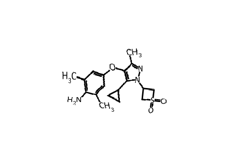 Cc1cc(Oc2c(C)nn(C3CS(=O)(=O)C3)c2C2CC2)cc(C)c1N